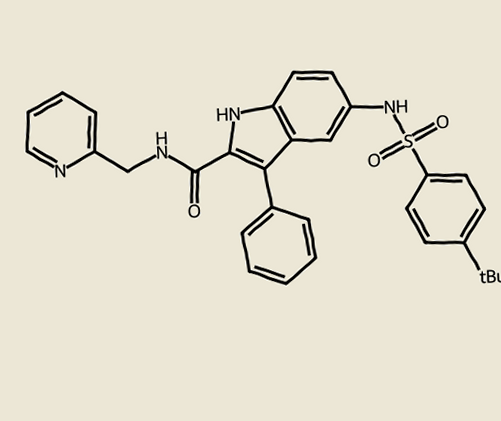 CC(C)(C)c1ccc(S(=O)(=O)Nc2ccc3[nH]c(C(=O)NCc4ccccn4)c(-c4ccccc4)c3c2)cc1